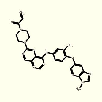 C=CC(=O)N1CCN(c2ncc3ncnc(Nc4ccc(Oc5cnc6c(c5)ncn6C)c(C)c4)c3n2)CC1